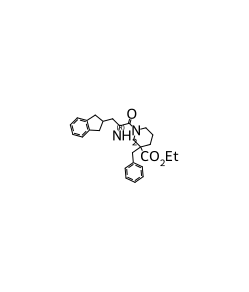 CCOC(=O)C1(Cc2ccccc2)CCCN(C(=O)[C@H](N)CC2Cc3ccccc3C2)C1